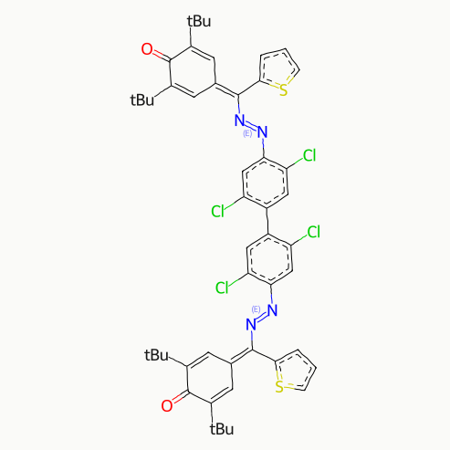 CC(C)(C)C1=CC(=C(/N=N/c2cc(Cl)c(-c3cc(Cl)c(/N=N/C(=C4C=C(C(C)(C)C)C(=O)C(C(C)(C)C)=C4)c4cccs4)cc3Cl)cc2Cl)c2cccs2)C=C(C(C)(C)C)C1=O